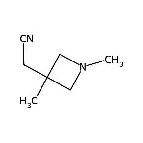 CN1CC(C)(CC#N)C1